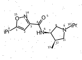 CC(C)c1cc(C(=O)N[C@H]2CN(C(C)C)C[C@H]2C)no1